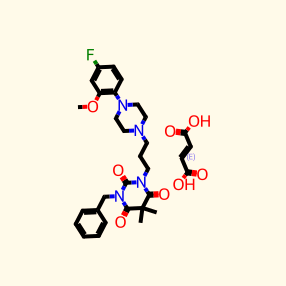 COc1cc(F)ccc1N1CCN(CCCN2C(=O)N(Cc3ccccc3)C(=O)C(C)(C)C2=O)CC1.O=C(O)/C=C/C(=O)O